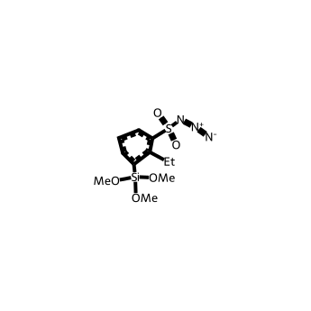 CCc1c([Si](OC)(OC)OC)cccc1S(=O)(=O)N=[N+]=[N-]